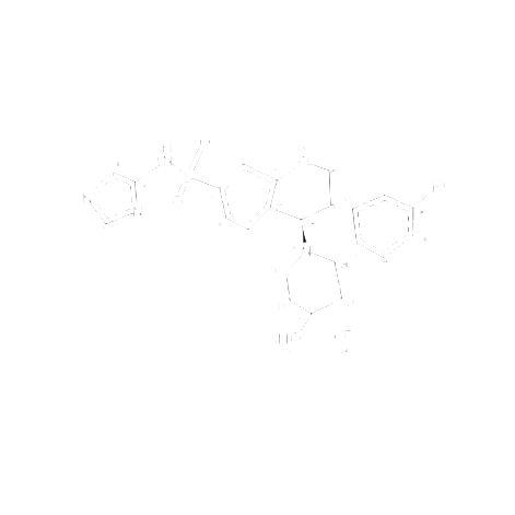 O=S(=O)(Nc1ncns1)c1ccc2c(c1)OCC[C@H]2N1CC[C@@](O)(C(F)(F)F)C[C@H]1c1ccc(F)cc1